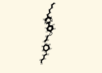 CCCCCCc1cnc(-c2ccc(OC/C=C/[C@H]3CC[C@H](CCCCC)CC3)cc2)nc1